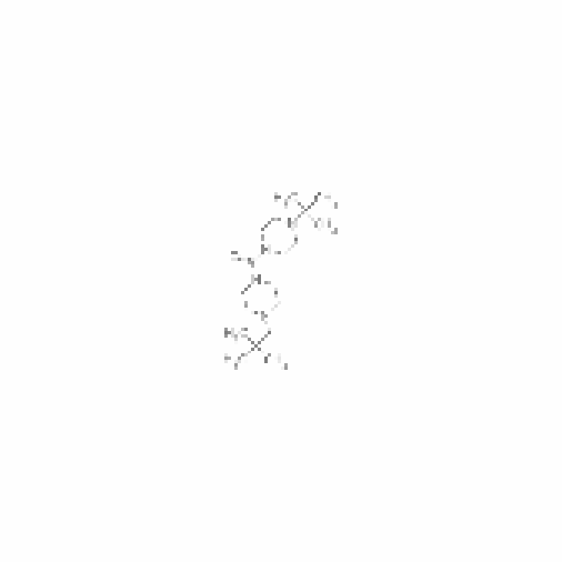 CC(C)(C)CN1CCN(C(=O)N2CCN(C(C)(C)C)CC2)CC1